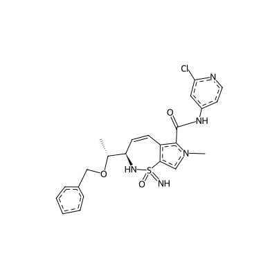 C[C@@H](OCc1ccccc1)[C@H]1C=Cc2c(cn(C)c2C(=O)Nc2ccnc(Cl)c2)S(=N)(=O)N1